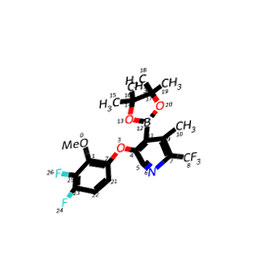 COc1c(Oc2cnc(C(F)(F)F)c(C)c2B2OC(C)(C)C(C)(C)O2)ccc(F)c1F